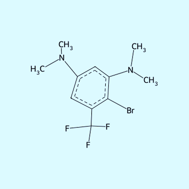 CN(C)c1cc(N(C)C)c(Br)c(C(F)(F)F)c1